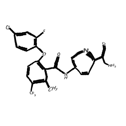 Cc1c(C(F)(F)F)ccc(Oc2ccc(Cl)cc2F)c1C(=O)Nc1ccc(C(N)=O)nc1